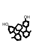 Cc1cccc(C2(c3cccc(C)c3-c3ccc(O)cc3)CCCCC2)c1-c1ccc(O)cc1